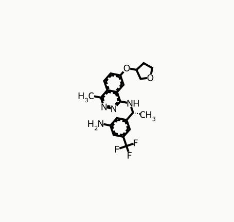 Cc1nnc(N[C@H](C)c2cc(N)cc(C(F)(F)F)c2)c2cc(OC3CCOC3)ccc12